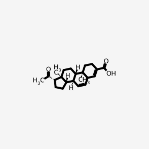 CC(=O)[C@H]1CC[C@H]2[C@@H]3C=CC4C=C(C(=O)O)CC[C@]4(C)[C@H]3CC[C@]12C